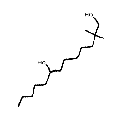 CCCCCC(O)CCCCCC(C)(C)CO